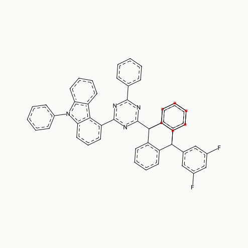 Fc1cc(F)cc(C23c4ccccc4C(c4nc(-c5ccccc5)nc(-c5cccc6c5c5ccccc5n6-c5ccccc5)n4)(c4ccccc42)c2ccccc23)c1